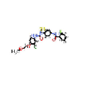 COCCOc1ccc(NC(=O)N(S)c2ccc(NC(=O)c3ccccc3F)cc2)cc1Cl